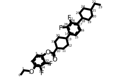 CCOc1ccc(OC(=O)C2CCC(c3ccc(C4CCC(CC)CC4)c(F)c3F)CC2)c(F)c1F